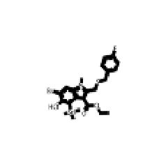 CCOC(=O)c1c(CSCc2ccc(F)cc2)n(C)c2cc(Br)c(O)[c]([Sn]([CH3])([CH3])[CH3])c12